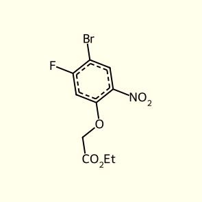 CCOC(=O)COc1cc(F)c(Br)cc1[N+](=O)[O-]